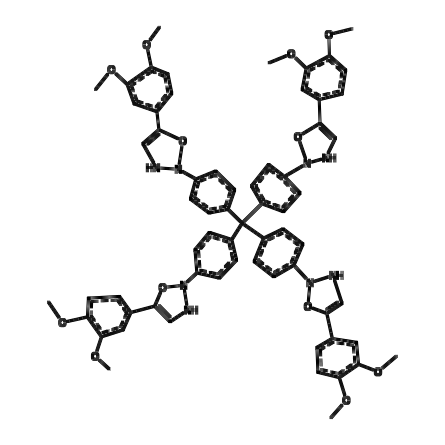 COc1ccc(C2=CNN(c3ccc(C(c4ccc(N5NC=C(c6ccc(OC)c(OC)c6)O5)cc4)(c4ccc(N5NC=C(c6ccc(OC)c(OC)c6)O5)cc4)c4ccc(N5NC=C(c6ccc(OC)c(OC)c6)O5)cc4)cc3)O2)cc1OC